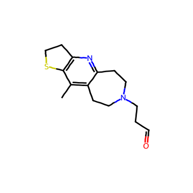 Cc1c2c(nc3c1SCC3)CCN(CCC=O)CC2